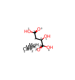 O=C(O)CC(O)C(=O)O.[CaH2].[MgH2].[MgH2]